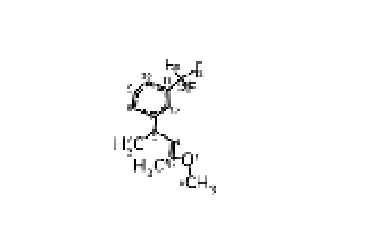 CO/C(C)=C/C(C)c1cccc(C(F)(F)F)c1